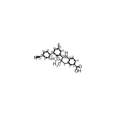 CC1(C)Cc2cc(C(=O)O)ccc2NC1c1cc(F)cc(-c2ccc(C#N)cc2)c1